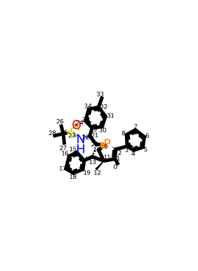 CC1=C(c2ccccc2)[P@]2C[C@@]1(C)C(c1ccccc1)[C@@H]2[C@H](N[S+]([O-])C(C)(C)C)c1ccc(C)cc1